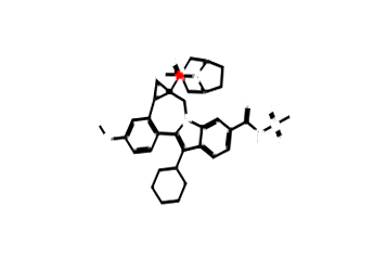 COc1ccc2c(c1)C1CC1(C(=O)N1C3CCC1CN(C)C3)Cn1c-2c(C2CCCCC2)c2ccc(C(=O)NS(C)(=O)=O)cc21